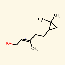 C/C(=C\CO)CCC1CC1(C)C